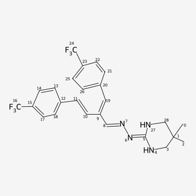 CC1(C)CNC(=NN=CC(C=Cc2ccc(C(F)(F)F)cc2)=Cc2ccc(C(F)(F)F)cc2)NC1